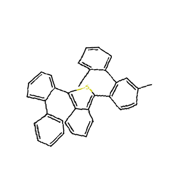 Cc1ccc(-c2sc(-c3ccccc3-c3ccccc3)c3ccccc23)c(-c2ccccc2C)c1